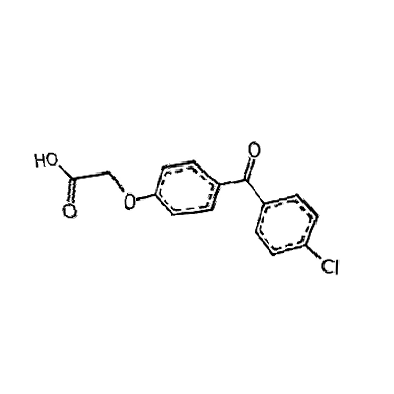 O=C(O)COc1ccc(C(=O)c2ccc(Cl)cc2)cc1